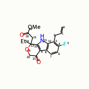 C=CCc1c(F)ccc2c3c([nH]c12)C(CC)(CC(=O)OC)OCC3=O